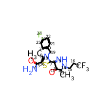 CC1=C(C(N)=O)SC(C(=N)C(=O)C(C)NCCC(F)(F)F)N1Cc1ccc(F)cc1